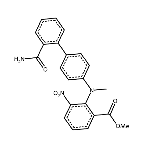 COC(=O)c1cccc([N+](=O)[O-])c1N(C)c1ccc(-c2ccccc2C(N)=O)cc1